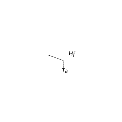 C[CH2][Ta].[Hf]